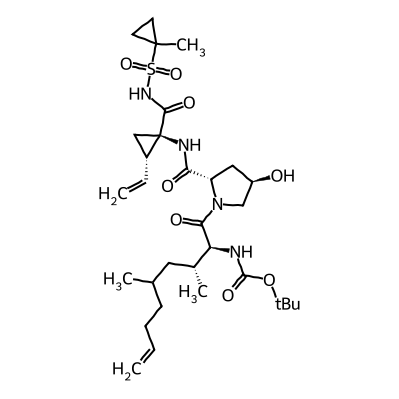 C=CCCC(C)C[C@@H](C)[C@H](NC(=O)OC(C)(C)C)C(=O)N1C[C@H](O)C[C@H]1C(=O)N[C@]1(C(=O)NS(=O)(=O)C2(C)CC2)C[C@H]1C=C